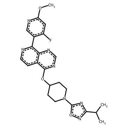 COc1cc(F)c(-c2nccc3c(OC4CCN(c5nc(C(C)C)no5)CC4)ncnc23)cn1